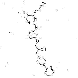 C#CCOc1nc(Nc2cccc(OCC(O)CN3CCN(c4ccccn4)CC3)c2)ncc1Br